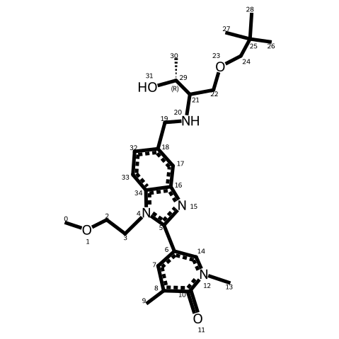 COCCn1c(-c2cc(C)c(=O)n(C)c2)nc2cc(CNC(COCC(C)(C)C)[C@@H](C)O)ccc21